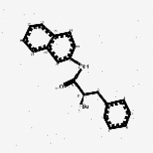 CCCC[C@H](Cc1ccccc1)C(=O)Nc1ccc2ccccc2c1